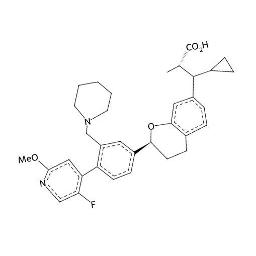 COc1cc(-c2ccc([C@@H]3CCc4ccc(C(C5CC5)[C@H](C)C(=O)O)cc4O3)cc2CN2CCCCC2)c(F)cn1